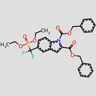 CCOP(=O)(OCC)C(F)(F)c1ccc2c(c1)cc(C(=O)OCc1ccccc1)n2C(=O)OCc1ccccc1